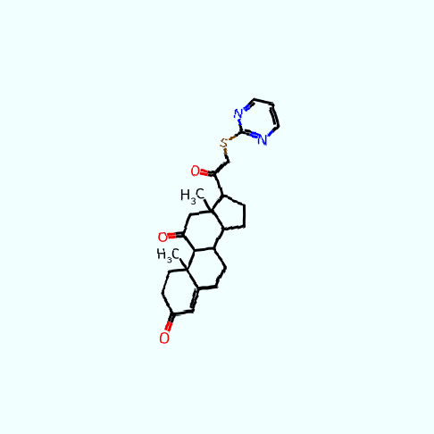 CC12CCC(=O)C=C1CCC1C2C(=O)CC2(C)C(C(=O)CSc3ncccn3)CCC12